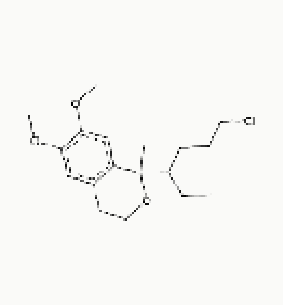 CCC(CCCCl)C1(C)OCCc2cc(OC)c(OC)cc21